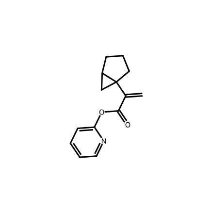 C=C(C(=O)Oc1ccccn1)C12CCCC1C2